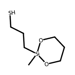 C[Si]1(CCCS)OCCCO1